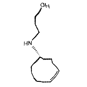 OCCN[C@@H]1CC=CCC1